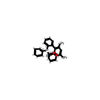 CC(C)c1cc(C(C)C)c(-c2ccccc2P(c2ccccc2)c2ccccc2)c(C(C)C)c1